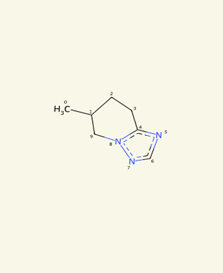 CC1CCc2ncnn2C1